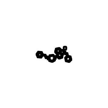 O=C1c2cccc3c(N4CCCN(CCc5ccccc5)CC4)ccc(c23)N1CC1CCCCC1